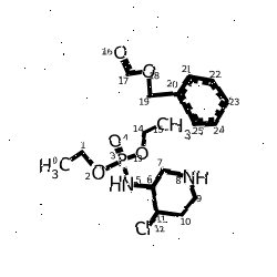 CCOP(=O)(NC1CNCCC1Cl)OCC.O=COCc1ccccc1